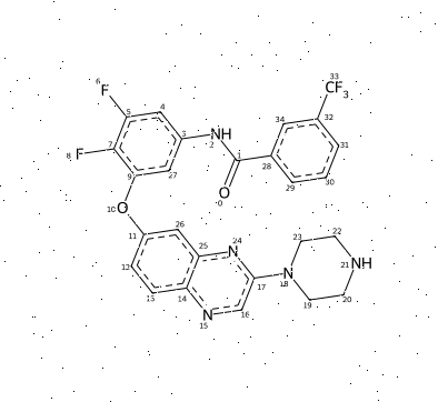 O=C(Nc1cc(F)c(F)c(Oc2ccc3ncc(N4CCNCC4)nc3c2)c1)c1cccc(C(F)(F)F)c1